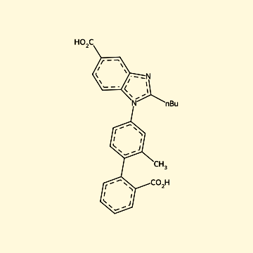 CCCCc1nc2cc(C(=O)O)ccc2n1-c1ccc(-c2ccccc2C(=O)O)c(C)c1